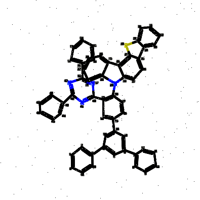 c1ccc(-c2cc(-c3ccccc3)cc(-c3ccc(-n4c5ccccc5c5c6sc7ccccc7c6ccc54)c(-c4nc(-c5ccccc5)nc(-c5ccccc5)n4)c3)c2)cc1